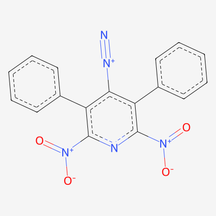 N#[N+]c1c(-c2ccccc2)c([N+](=O)[O-])nc([N+](=O)[O-])c1-c1ccccc1